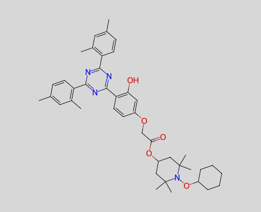 Cc1ccc(-c2nc(-c3ccc(C)cc3C)nc(-c3ccc(OCC(=O)OC4CC(C)(C)N(OC5CCCCC5)C(C)(C)C4)cc3O)n2)c(C)c1